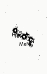 CNC(=O)c1cc(-n2ccc3cc(NC(=S)Nc4ccccc4)ccc32)ccn1